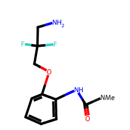 CNC(=O)Nc1ccccc1OCC(F)(F)CN